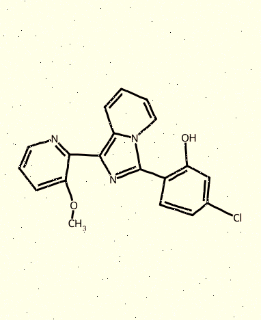 COc1cccnc1-c1nc(-c2ccc(Cl)cc2O)n2ccccc12